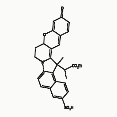 CCOC(=O)C(C)C1(C)C2=C3C=C4C=CC(=O)C=C4OC3CCN2c2ccc3cc(S(=O)(=O)O)ccc3c21